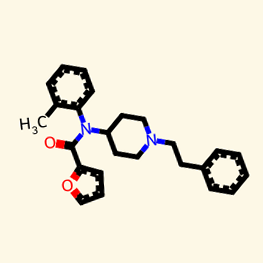 Cc1ccccc1N(C(=O)c1ccco1)C1CCN(CCc2ccccc2)CC1